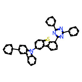 c1ccc(-c2ccc3c(c2)c2ccccc2n3-c2ccc3sc4c(-c5nc(-c6ccccc6)nc(-c6ccccc6)n5)cccc4c3c2)cc1